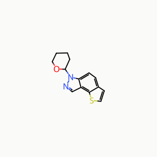 c1cc2ccc3c(cnn3C3CCCCO3)c2s1